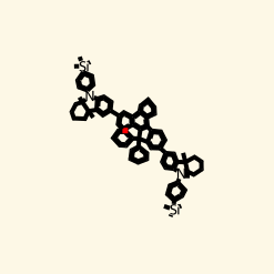 CC12CCCCC1(C)N(c1ccc([Si](C)(C)C)cc1)c1ccc(-c3ccc4c(c3)C(c3ccccc3)(c3ccccc3)c3c-4c4ccccc4c4cc(-c5ccc6c(c5)C5(C)CCCCC5(C)N6c5ccc([Si](C)(C)C)cc5)ccc34)cc12